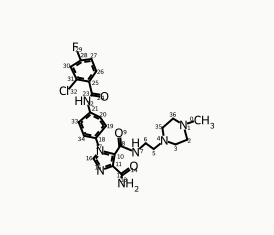 CN1CCN(CCNC(=O)c2c(C(N)=O)ncn2-c2ccc(NC(=O)c3ccc(F)cc3Cl)cc2)CC1